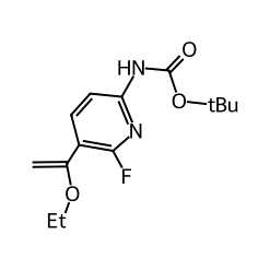 C=C(OCC)c1ccc(NC(=O)OC(C)(C)C)nc1F